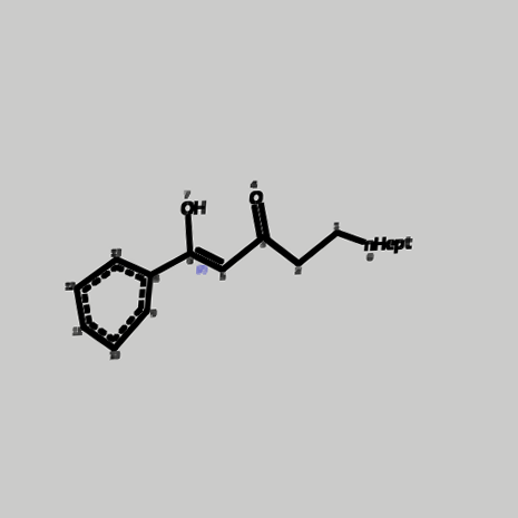 CCCCCCCCCC(=O)/C=C(\O)c1ccccc1